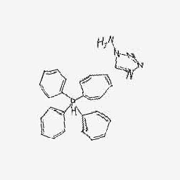 Nn1cnnn1.c1ccc([PH](c2ccccc2)(c2ccccc2)c2ccccc2)cc1